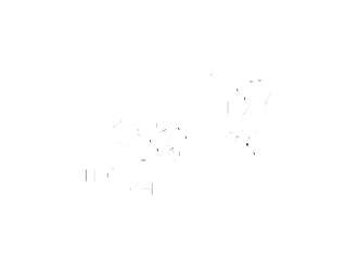 CC(C)c1cn(S(=O)(=O)N2CCCC(CC(C)c3cc(S(=O)(=O)N4CCCCC4)c4ccccn34)C2)c2ccccc12